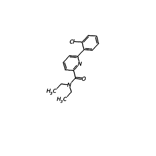 CCN(CC)C(=O)c1cccc(-c2ccccc2Cl)n1